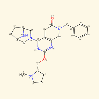 CN1CCC[C@H]1COc1nc2c(c(N3CC4CCC(C3)N4)n1)CC(=O)N(Cc1ccccc1)C2